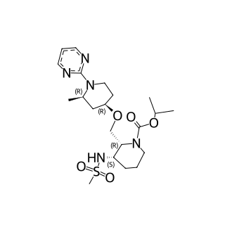 CC(C)OC(=O)N1CCC[C@H](NS(C)(=O)=O)[C@@H]1CO[C@@H]1CCN(c2ncccn2)[C@H](C)C1